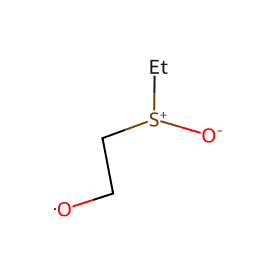 CC[S+]([O-])CC[O]